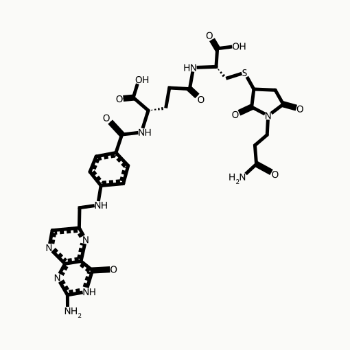 NC(=O)CCN1C(=O)CC(SC[C@H](NC(=O)CC[C@H](NC(=O)c2ccc(NCc3cnc4nc(N)[nH]c(=O)c4n3)cc2)C(=O)O)C(=O)O)C1=O